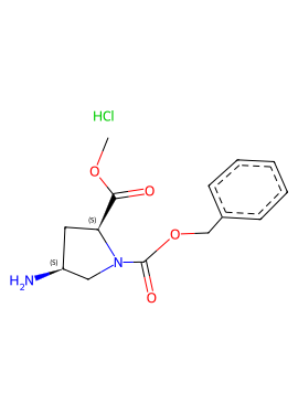 COC(=O)[C@@H]1C[C@H](N)CN1C(=O)OCc1ccccc1.Cl